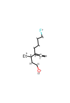 C=C=C(CCCCF)C(CC)CC[O]